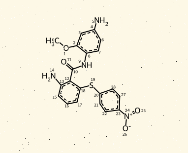 COc1cc(N)ccc1NC(=O)c1c(N)cccc1Sc1ccc([N+](=O)[O-])cc1